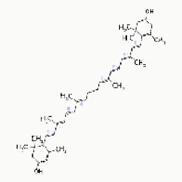 CC1=CC(O)CC(C)(C)C1/C=C/C(C)=C/C=C/C(C)=C/CC/C=C(C)/C=C/C=C(C)/C=C/C1=C(C)CC(O)CC1(C)C